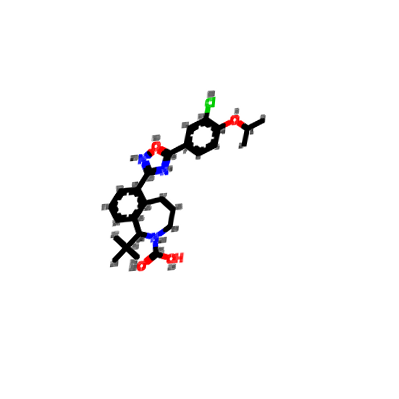 CC(C)Oc1ccc(-c2nc(-c3cccc4c3CCCN(C(=O)O)C4C(C)(C)C)no2)cc1Cl